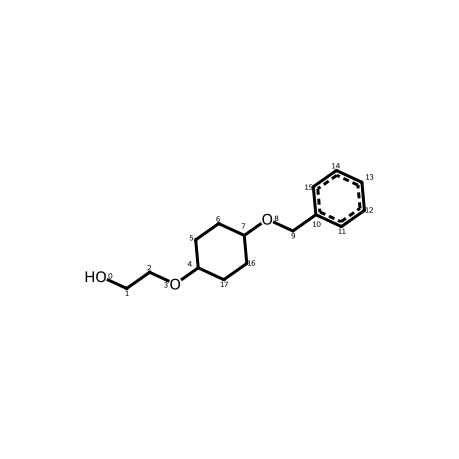 OCCOC1CCC(OCc2ccccc2)CC1